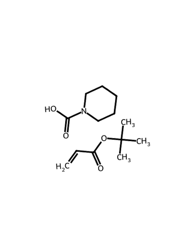 C=CC(=O)OC(C)(C)C.O=C(O)N1CCCCC1